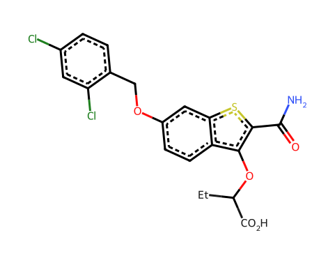 CCC(Oc1c(C(N)=O)sc2cc(OCc3ccc(Cl)cc3Cl)ccc12)C(=O)O